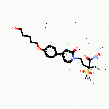 C[C@@](CCn1ccc(-c2ccc(OCCCCCO)cc2)cc1=O)(C(=O)NO)S(C)(=O)=O